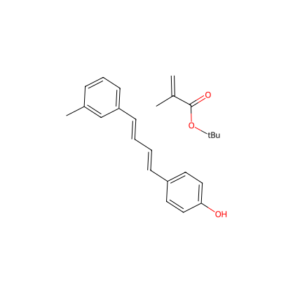 C=C(C)C(=O)OC(C)(C)C.Cc1cccc(C=CC=Cc2ccc(O)cc2)c1